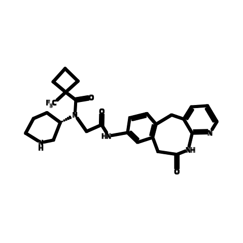 O=C(CN(C(=O)C1(C(F)(F)F)CCC1)[C@H]1CCCNC1)Nc1ccc2c(c1)CC(=O)Nc1ncccc1C2